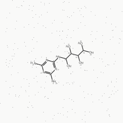 Nc1nc(N)nc(NC(O)C(O)C(O)C(O)O)n1